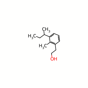 CCC(C)c1cccc(CCO)c1C